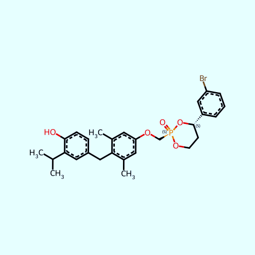 Cc1cc(OC[P@]2(=O)OCC[C@@H](c3cccc(Br)c3)O2)cc(C)c1Cc1ccc(O)c(C(C)C)c1